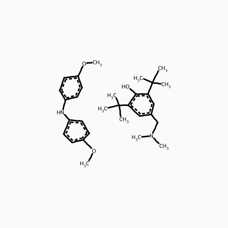 CN(C)Cc1cc(C(C)(C)C)c(O)c(C(C)(C)C)c1.COc1ccc(Nc2ccc(OC)cc2)cc1